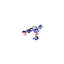 C=CC(=O)N1CC2(CCN(c3nc(OC[C@@H]4CCCN4C)nc(-n4ccnc4)c3C#N)C2)C1